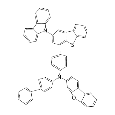 c1ccc(-c2ccc(N(c3ccc(-c4cc(-n5c6ccccc6c6ccccc65)cc5c4sc4ccccc45)cc3)c3ccc4c(c3)oc3ccccc34)cc2)cc1